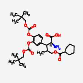 CC(COC(=O)C1CCCCC1)C(c1ccc(OC(=O)OCC(C)(C)C)c(OC(=O)OCC(C)(C)C)c1)[C@H](N)C(=O)O